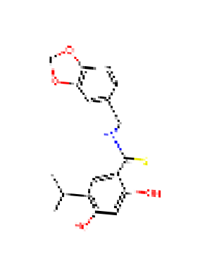 CC(C)c1cc(C(=S)NCc2ccc3c(c2)OCO3)c(O)cc1O